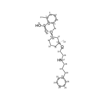 Cc1cccc(CO[C@@H]2CCC[C@](C)(OCCNCCCc3ccccc3)C2)c1C(=O)O